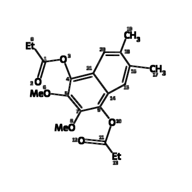 CCC(=O)Oc1c(OC)c(OC)c(OC(=O)CC)c2cc(C)c(C)cc12